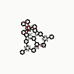 N#Cc1cc(-c2cc(-n3c4cc(-c5nc(-c6ccccc6)nc(-c6ccccc6)n5)ccc4c4ccc(-c5nc(-c6ccccc6)nc(-c6ccccc6)n5)cc43)c(C#N)c(-n3c4cc(-c5nc(-c6ccccc6)nc(-c6ccccc6)n5)ccc4c4ccc(-c5nc(-c6ccccc6)nc(-c6ccccc6)n5)cc43)c2)cc(C(F)(F)F)c1